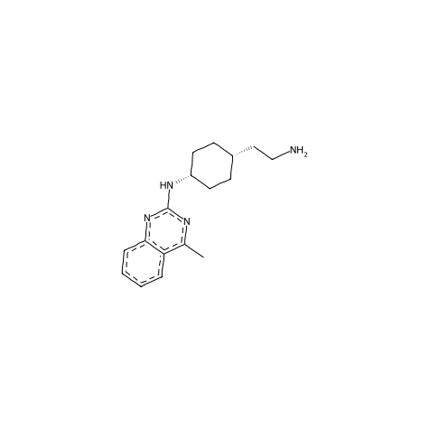 Cc1nc(N[C@H]2CC[C@@H](CCN)CC2)nc2ccccc12